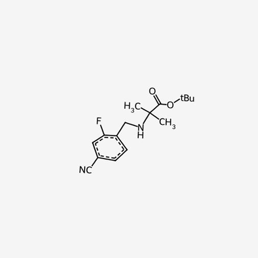 CC(C)(C)OC(=O)C(C)(C)NCc1ccc(C#N)cc1F